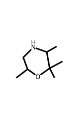 CC1CNC(C)C(C)(C)O1